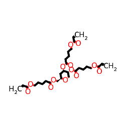 C=CC(=O)OCCCCC(=O)OC[C@H]1C[C@H](OC(=O)CCCCOC(=O)C=C)[C@H](OC(=O)CCCCOC(=O)C=C)CO1